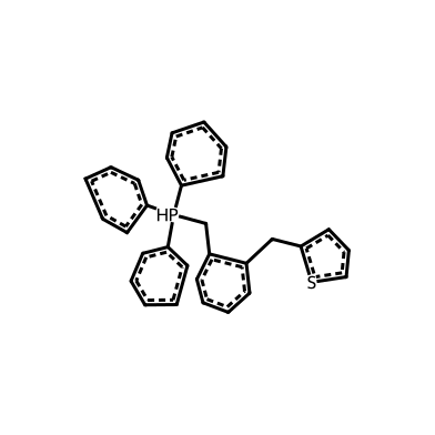 c1ccc([PH](Cc2ccccc2Cc2cccs2)(c2ccccc2)c2ccccc2)cc1